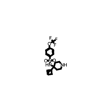 O=S(=O)(NC1(C23CC(C2)C3)CCNCC1)c1ccc(OC(F)(F)F)cc1